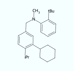 CC(C)c1ccc(CN(C)c2ccccc2C(C)(C)C)cc1C1CCCCC1